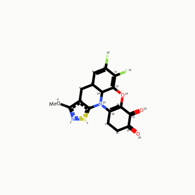 COc1nsc2c1CC1C=C(F)C(F)=C3OC4=C(CCC(=O)C4=O)N2C31